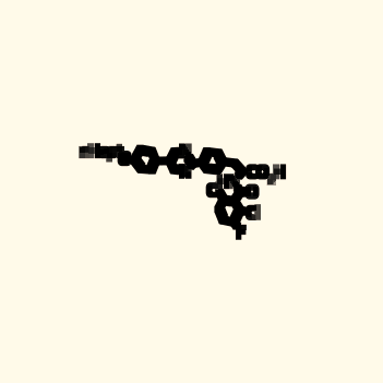 CCCCCCCOc1ccc(-c2cnc(-c3ccc(C[C@H](NC(=O)c4c(Cl)ccc(F)c4Cl)C(=O)O)cc3)nc2)cc1